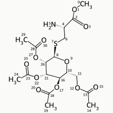 COC(=O)[C@@H](N)CS[C@H]1O[C@H](COC(C)=O)[C@@H](OC(C)=O)[C@H](OC(C)=O)[C@@H]1OC(C)=O